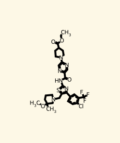 CCOC(=O)C1CCN(c2cnc(C(=O)Nc3nc(-c4ccc(Cl)c(C(F)(F)F)c4)c(CN4CCCC(C)(OC)C4)s3)cn2)CC1